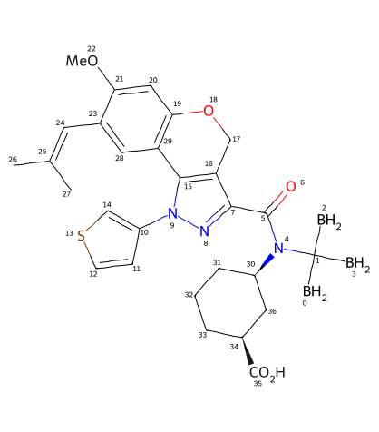 BC(B)(B)N(C(=O)c1nn(-c2ccsc2)c2c1COc1cc(OC)c(C=C(C)C)cc1-2)[C@@H]1CCC[C@H](C(=O)O)C1